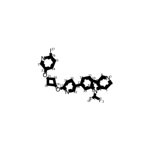 FC(F)n1c2ccncc2c2ccc(-c3ccc(OC4CC(Oc5ccc(I)nc5)C4)nc3)cc21